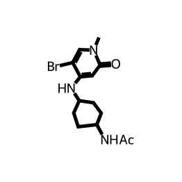 CC(=O)NC1CCC(Nc2cc(=O)n(C)cc2Br)CC1